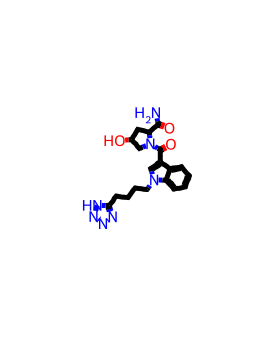 NC(=O)C1CC(O)CN1C(=O)c1cn(CCCCc2nnn[nH]2)c2ccccc12